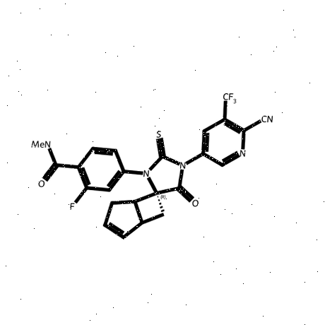 CNC(=O)c1ccc(N2C(=S)N(c3cnc(C#N)c(C(F)(F)F)c3)C(=O)[C@]23CC2C=CCC23)cc1F